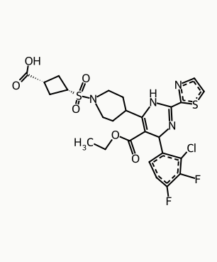 CCOC(=O)C1=C(C2CCN(S(=O)(=O)[C@H]3C[C@@H](C(=O)O)C3)CC2)NC(c2nccs2)=NC1c1ccc(F)c(F)c1Cl